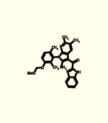 COCOc1ccc(C)c(-n2c(N)c(C(=O)c3nc4ccccc4[nH]3)c3cc(C)c(C)nc32)c1C